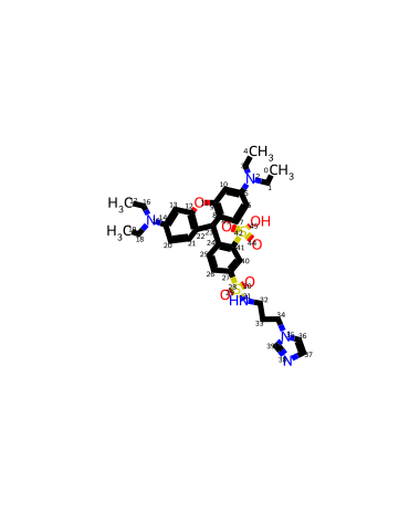 CCN(CC)c1ccc2c(c1)Oc1cc(N(CC)CC)ccc1C2c1ccc(S(=O)(=O)NCCCn2ccnc2)cc1S(=O)(=O)O